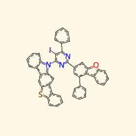 Ic1c(-c2ccccc2)nc(-c2cc(-c3ccccc3)c3c(c2)oc2ccccc23)nc1-n1c2ccccc2c2cc3sc4ccccc4c3cc21